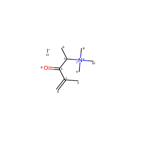 C=C(C)C(=O)C(C)[N+](C)(C)C.[I-]